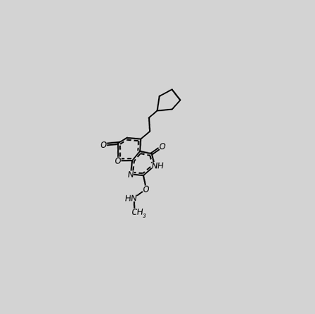 CNOc1nc2oc(=O)cc(CCC3CCCC3)c2c(=O)[nH]1